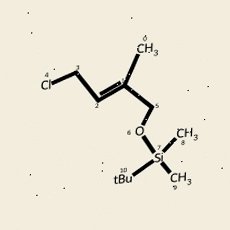 CC(=CCCl)CO[Si](C)(C)C(C)(C)C